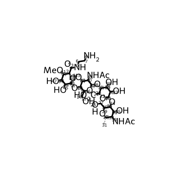 CO[C@@H]1C(C(=O)NCCN)O[C@@H](O[C@@H]2C(CO)O[C@@H](O[C@@H]3C(C(=O)O)O[C@@H](O[C@@H]4C(CO)O[C@@H](C)C(NC(C)=O)[C@H]4O)C(O)[C@H]3O)C(NC(C)=O)[C@H]2O)C(O)[C@H]1O